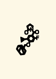 O=C1CCCN1C(=O)c1cc(C2CC2)c(OCC23CC4CC(CC(C4)C2)C3)cc1F